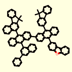 CC1(C)c2ccccc2-c2cc(-c3c4ccccc4c(-c4ccc5oc6ccccc6c5c4)c4ccc(-c5ccc6c(-c7cc8c(c9ccccc79)-c7ccccc7C8(C)C)c7ccccc7c(-c7cc(-c8ccccc8)cc8ccccc78)c6c5)cc34)ccc21